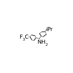 CC(C)c1ccc(C(N)c2ccc(C(F)(F)F)cc2)cc1